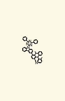 Cc1ccccc1C1c2ccccc2C(C)c2c(-c3ccc4c(c3)c3ccccc3n4-c3nc(-c4ccccc4)nc(-c4ccccc4)n3)ccc(C#N)c21